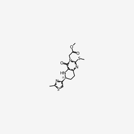 COC(=O)Cn1c(SC)nc2c(c1=O)N[C@H](c1csc(C)n1)CC2